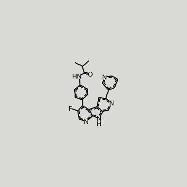 CC(C)C(=O)Nc1ccc(-c2c(F)cnc3[nH]c4cnc(-c5cccnc5)cc4c23)cc1